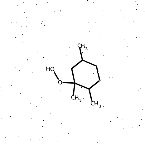 CC1CCC(C)C(C)(OO)C1